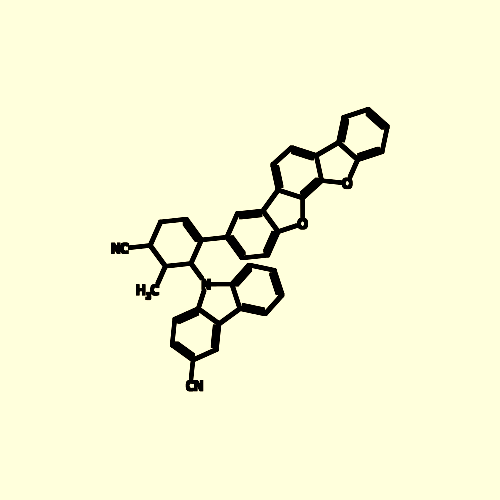 CC1C(C#N)CC=C(c2ccc3oc4c(ccc5c6ccccc6oc54)c3c2)C1n1c2ccccc2c2cc(C#N)ccc21